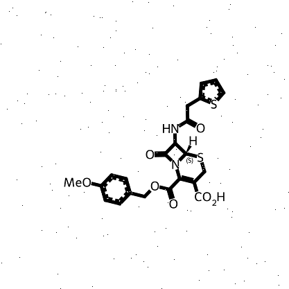 COc1ccc(COC(=O)C2=C(C(=O)O)CS[C@H]3C(NC(=O)Cc4cccs4)C(=O)N23)cc1